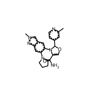 Cc1cc(C2OC=C(C(N)=O)N2c2cc3cn(C)nc3cc2N2CCCC2)ccn1